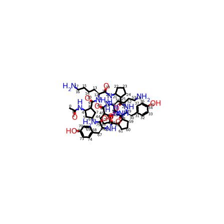 CC(=O)NC1CCCC1C(=O)N[C@@H](CCCCN)C(=O)NC1CCCC1C(=O)N[C@@H](Cc1ccc(O)cc1)C(=O)NC1CCCC1C(=O)N[C@@H](CCCCN)C(=O)NC1CCCC1C(=O)N[C@@H](Cc1ccc(O)cc1)C(N)=O